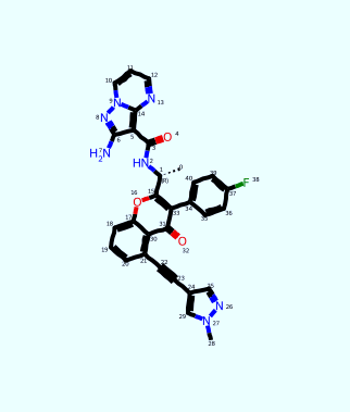 C[C@@H](NC(=O)c1c(N)nn2cccnc12)c1oc2cccc(C#Cc3cnn(C)c3)c2c(=O)c1-c1ccc(F)cc1